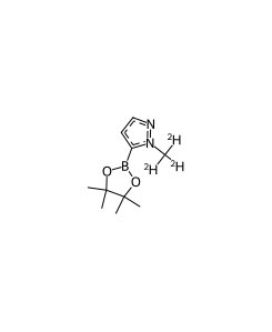 [2H]C([2H])([2H])n1nccc1B1OC(C)(C)C(C)(C)O1